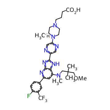 COCC(C)(C)CN(C)c1cc(-c2ccc(F)c(C(F)(F)F)c2)nc2nc(-c3cnc(N4CCN(CCCC(=O)O)C[C@H]4C)cn3)[nH]c12